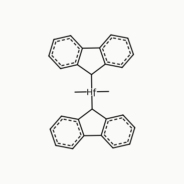 [CH3][Hf]([CH3])([CH]1c2ccccc2-c2ccccc21)[CH]1c2ccccc2-c2ccccc21